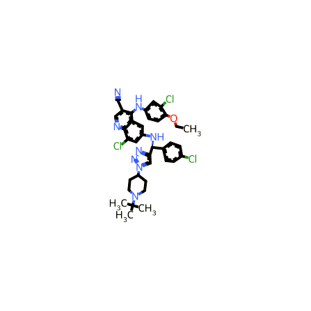 CCOc1ccc(Nc2c(C#N)cnc3c(Cl)cc(N[C@@H](c4ccc(Cl)cc4)c4cn(C5CCN(C(C)(C)C)CC5)nn4)cc23)cc1Cl